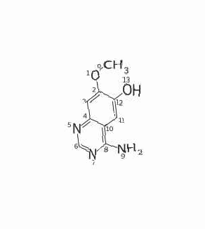 COc1cc2ncnc(N)c2cc1O